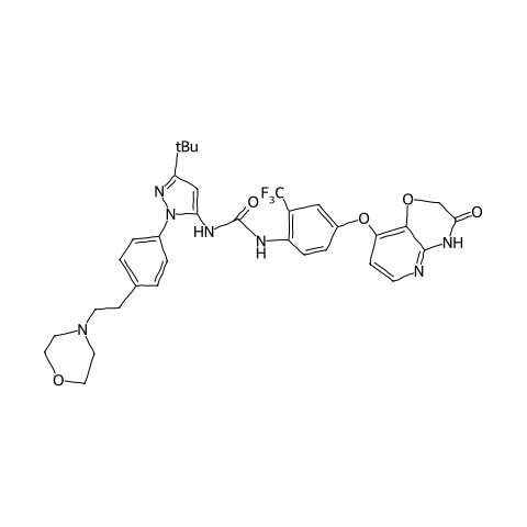 CC(C)(C)c1cc(NC(=O)Nc2ccc(Oc3ccnc4c3OCC(=O)N4)cc2C(F)(F)F)n(-c2ccc(CCN3CCOCC3)cc2)n1